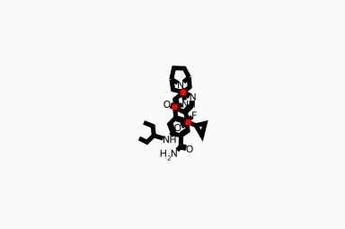 CCC(CC)Nc1cc(C(=O)NC2CC3CCC(C2)N3c2ccc(C(=O)C3CC3)cn2)c(F)cc1C(N)=O